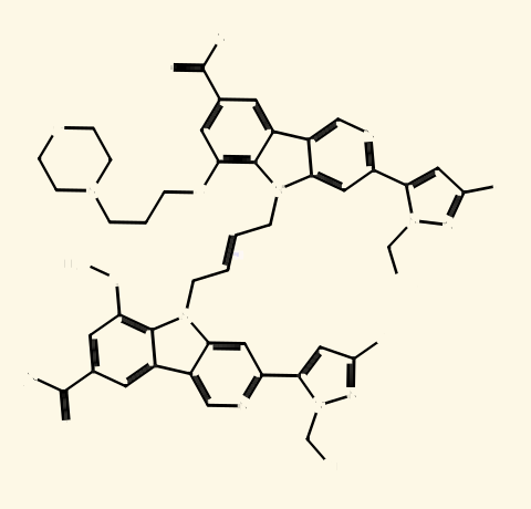 CCn1nc(C)cc1-c1cc2c(cn1)c1cc(C(N)=O)cc(OC)c1n2C/C=C/Cn1c2cc(-c3cc(C)nn3CC)ncc2c2cc(C(N)=O)cc(OCCCN3CCOCC3)c21